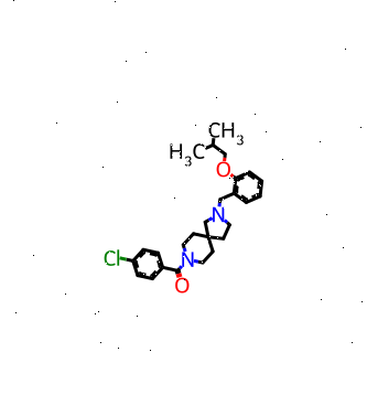 CC(C)COc1ccccc1CN1CCC2(CCN(C(=O)c3ccc(Cl)cc3)CC2)C1